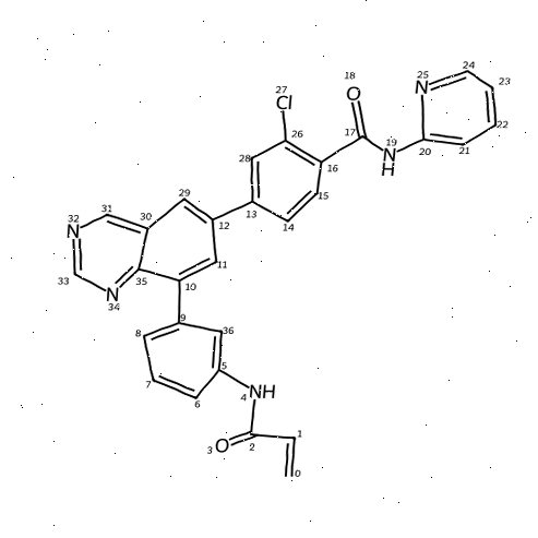 C=CC(=O)Nc1cccc(-c2cc(-c3ccc(C(=O)Nc4ccccn4)c(Cl)c3)cc3cncnc23)c1